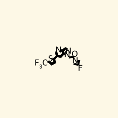 O=C(Cn1ncc2ncc(-c3ccc(C(F)(F)F)s3)cc21)N1CC(F)C1